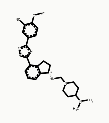 CC(C)Oc1ccc(-c2nc(-c3cccc4c3CC[C@@H]4NCN3CCC(N(C)C)CC3)no2)cc1C#N